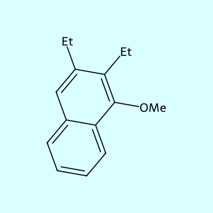 CCc1cc2ccccc2c(OC)c1CC